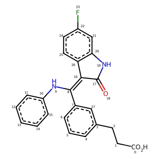 O=C(O)CCc1cccc(C(Nc2ccccc2)=C2C(=O)Nc3cc(F)ccc32)c1